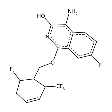 Nc1c(O)nc(OCC2C(F)CC=CC2C(F)(F)F)c2cc(F)ccc12